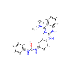 CN(C)c1nc(N[C@H]2CC[C@@H](NC(=O)Nc3ccccc3)CC2)nc2ccccc12